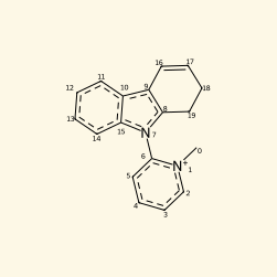 C[n+]1ccccc1-n1c2c(c3ccccc31)C=CCC2